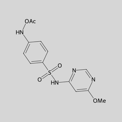 COc1cc(NS(=O)(=O)c2ccc(NOC(C)=O)cc2)ncn1